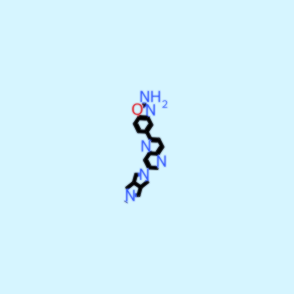 CN1CC2CN(c3cnc4ccc(-c5ccc6oc(N)nc6c5)nc4c3)CC2C1